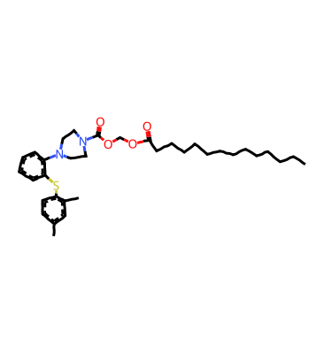 CCCCCCCCCCCCCC(=O)OCOC(=O)N1CCN(c2ccccc2Sc2ccc(C)cc2C)CC1